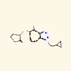 O=C1CCCC1Oc1ccc2c(nnn2CC2CC2)c1Br